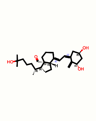 C=C1/C(=C\C=C2/CCC[C@]3(C=O)[C@@H]([C@H](C)CCCC(C)(C)O)CC[C@@H]23)C[C@@H](O)C[C@@H]1O